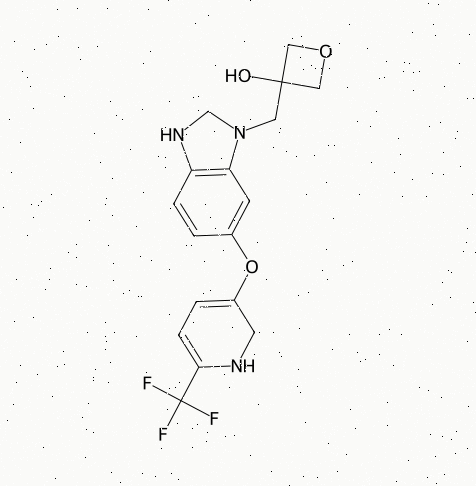 OC1(CN2CNc3ccc(OC4=CC=C(C(F)(F)F)NC4)cc32)COC1